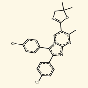 Cc1nc2nc(-c3ccc(Cl)cc3)c(-c3ccc(Cl)cc3)n2cc1C1=NCC(C)(C)O1